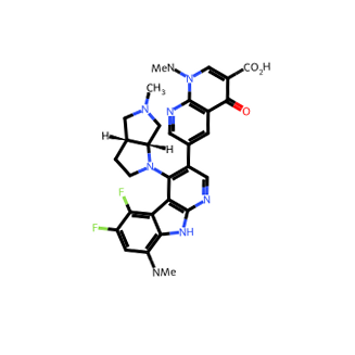 CNc1cc(F)c(F)c2c1[nH]c1ncc(-c3cnc4c(c3)c(=O)c(C(=O)O)cn4NC)c(N3CC[C@@H]4CN(C)C[C@@H]43)c12